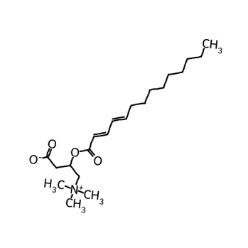 CCCCCCCCCC=CC=CC(=O)OC(CC(=O)[O-])C[N+](C)(C)C